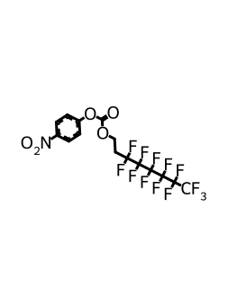 O=C(OCCC(F)(F)C(F)(F)C(F)(F)C(F)(F)C(F)(F)C(F)(F)F)Oc1ccc([N+](=O)[O-])cc1